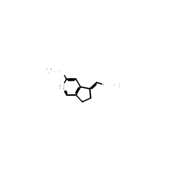 COc1cc2c(cn1)CCC2=CC(=O)O